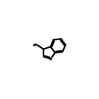 CCCC1C=Nc2ccccc21